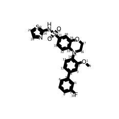 COc1cc(-c2cccc(F)c2)ccc1N1CCOc2cc(S(=O)(=O)Nc3nccs3)ccc21